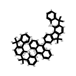 CC1(C)c2ccccc2Oc2c1ccc1c2-c2ccc(-c3c4ccccc4c(-c4cccc5c4Oc4c(ccc6c4-c4ccccc4C6(C)C)C5(C)C)c4ccccc34)cc2C1(C)C